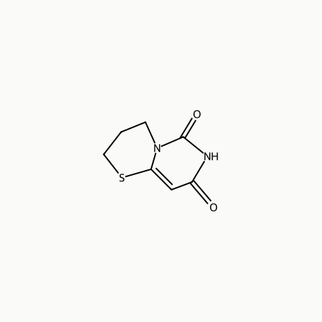 O=c1cc2n(c(=O)[nH]1)CCCS2